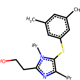 Cc1cc(C)cc(Sc2c(C(C)C)nc(CCO)n2C(C)C)c1